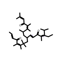 CC=CC(=O)C(C)=C(C)C(C)(C)CC(/C=C/C(=O)/C(C)=C(/CC)C(C)C)CC(C)C(C)=C(C)C(=O)C=C(C)C